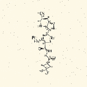 CC(C)Nc1cc(-c2ccc3cc(C#N)cnn23)ncc1C(=O)NCC(=O)N1CC(F)(F)C1